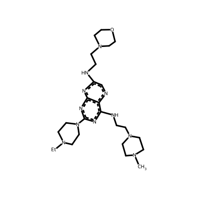 CCN1CCN(c2nc(NCCN3CCN(C)CC3)c3ncc(NCCN4CCOCC4)nc3n2)CC1